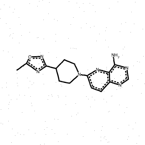 Cc1nc(C2CCN(c3ccc4ncnc(N)c4n3)CC2)no1